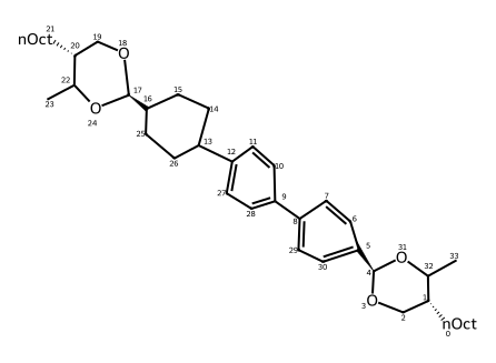 CCCCCCCC[C@@H]1CO[C@@H](c2ccc(-c3ccc(C4CCC([C@@H]5OC[C@@H](CCCCCCCC)C(C)O5)CC4)cc3)cc2)OC1C